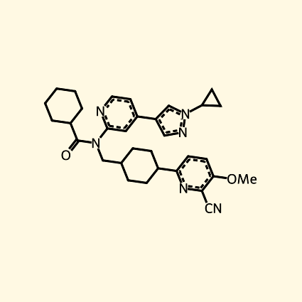 COc1ccc(C2CCC(CN(C(=O)C3CCCCC3)c3cc(-c4cnn(C5CC5)c4)ccn3)CC2)nc1C#N